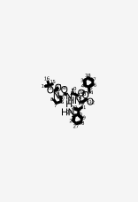 C[C@H](NC(=O)[C@@H]1CCCN1C(=O)OC(C)(C)C)C(=O)N[C@@H](Cc1c[nH]c2ccccc12)C(=O)OCc1ccccc1